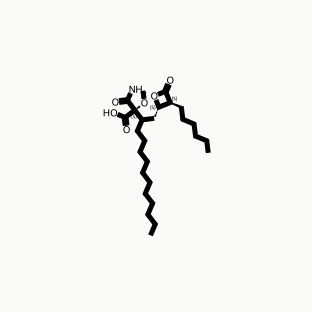 CCCCCCCCCCCC(C[C@@H]1OC(=O)[C@H]1CCCCCC)[C@](OC)(C(N)=O)C(=O)O